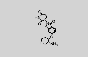 N[C@@H]1COCC[C@H]1Oc1ccc2c(c1)CN(C1CCC(=O)NC1=O)C2=O